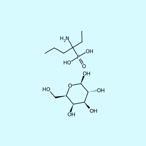 CCCC(N)(CC)P(=O)(O)O.OC[C@H]1O[C@@H](O)[C@H](O)[C@@H](O)[C@H]1O